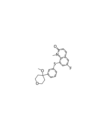 COC1(c2cccc(Sc3cc(F)cc4ccc(=O)n(C)c34)c2)CCOCC1